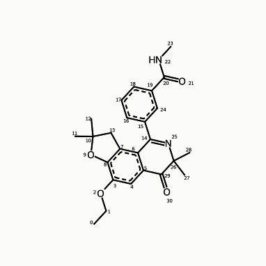 CCOc1cc2c(c3c1OC(C)(C)C3)C(c1cccc(C(=O)NC)c1)=NC(C)(C)C2=O